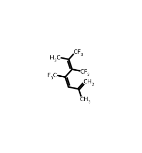 C=C(C)/C=C(\C(=C(/C)C(F)(F)F)C(F)(F)F)C(F)(F)F